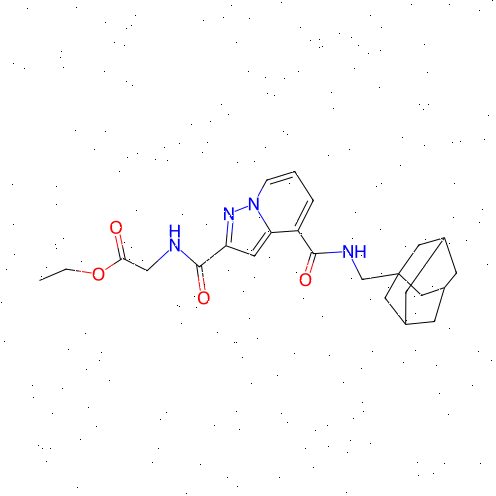 CCOC(=O)CNC(=O)c1cc2c(C(=O)NCC34CC5CC(CC(C5)C3)C4)cccn2n1